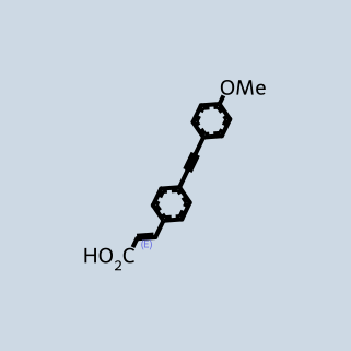 COc1ccc(C#Cc2ccc(/C=C/C(=O)O)cc2)cc1